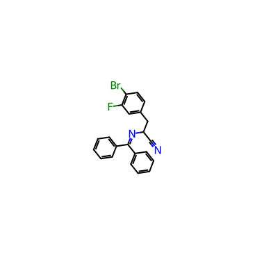 N#CC(Cc1ccc(Br)c(F)c1)N=C(c1ccccc1)c1ccccc1